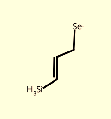 [SiH3]C=CC[Se]